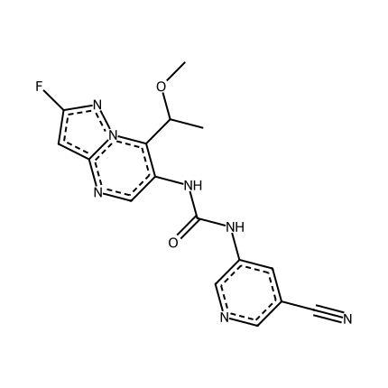 COC(C)c1c(NC(=O)Nc2cncc(C#N)c2)cnc2cc(F)nn12